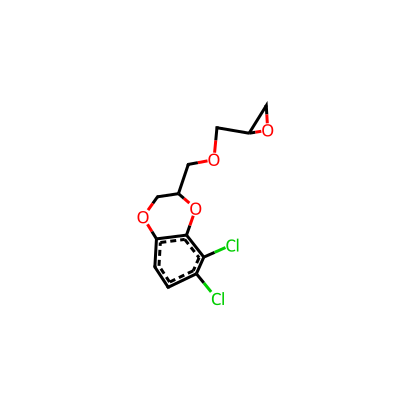 Clc1ccc2c(c1Cl)OC(COCC1CO1)CO2